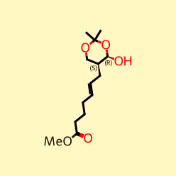 COC(=O)CCCC=CC[C@H]1COC(C)(C)O[C@H]1O